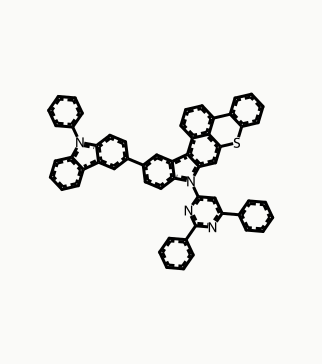 c1ccc(-c2cc(-n3c4ccc(-c5ccc6c(c5)c5ccccc5n6-c5ccccc5)cc4c4c5cccc6c5c(cc43)Sc3ccccc3-6)nc(-c3ccccc3)n2)cc1